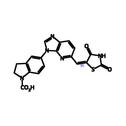 O=C1NC(=O)/C(=C\c2ccc3ncn(-c4ccc5c(c4)CCN5C(=O)O)c3n2)S1